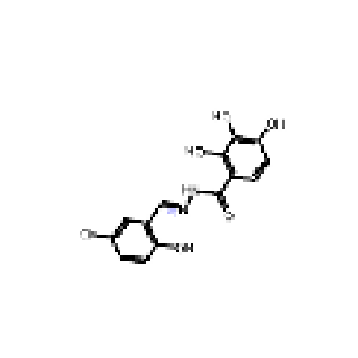 O=C(N/N=C/c1cc(Cl)ccc1O)c1ccc(O)c(O)c1O